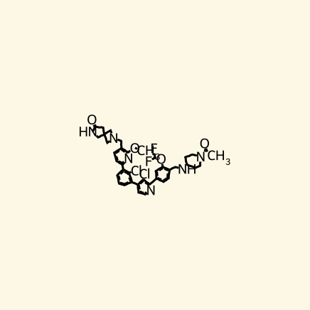 COc1nc(-c2cccc(-c3ccnc(-c4ccc(CNC5CCN(C(C)=O)CC5)c(OC(F)F)c4)c3Cl)c2Cl)ccc1CN1CC2(CNC(=O)C2)C1